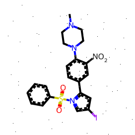 CN1CCN(c2ccc(-c3cc(I)cn3S(=O)(=O)c3ccccc3)cc2[N+](=O)[O-])CC1